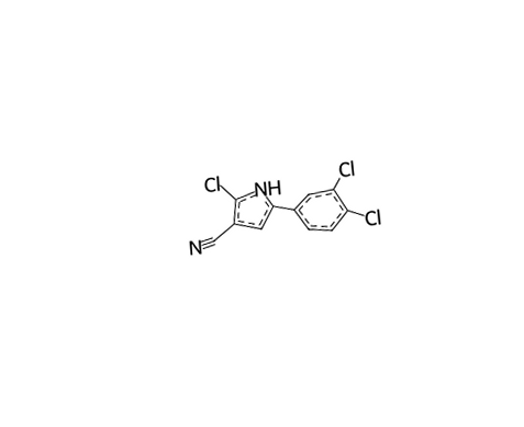 N#Cc1cc(-c2ccc(Cl)c(Cl)c2)[nH]c1Cl